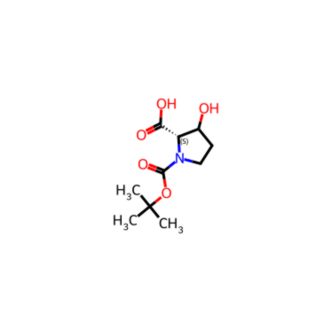 CC(C)(C)OC(=O)N1CCC(O)[C@H]1C(=O)O